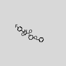 O=C(c1coc(-c2ccc(F)cc2)n1)[C@H]1CCC[C@@H](OCc2ccccc2)C1